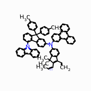 C=CC1=C(/C=C\C)C(C)(C)c2cc(N(c3ccc4c(c3)C(c3ccc(C)cc3)(c3ccc(C)cc3)c3cccc(-n5c6ccccc6c6ccccc65)c3-4)c3ccc4c5ccccc5c5ccccc5c4c3)ccc21